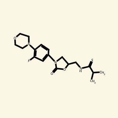 CC(C)C(=S)NCC1CN(c2ccc(N3CCOCC3)c(F)c2)C(=O)O1